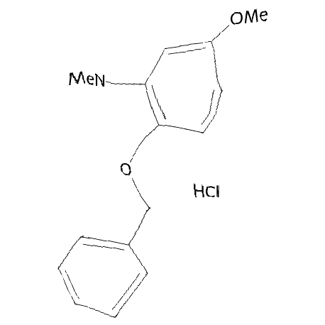 CNc1cc(OC)ccc1OCc1ccccc1.Cl